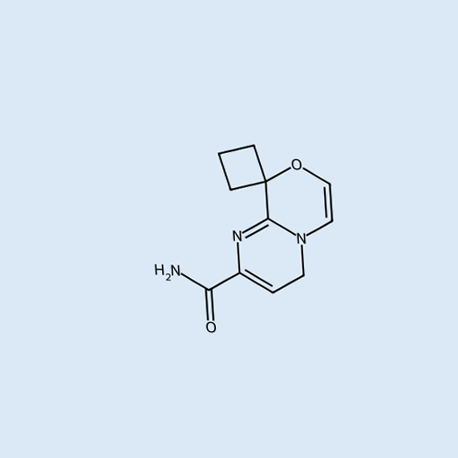 NC(=O)C1=CCN2C=COC3(CCC3)C2=N1